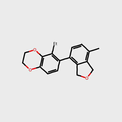 CCc1c(-c2c[c]c(C)c3c2COC3)ccc2c1OCCO2